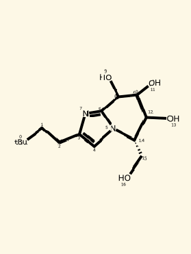 CC(C)(C)CCc1cn2c(n1)C(O)C(O)C(O)[C@@H]2CO